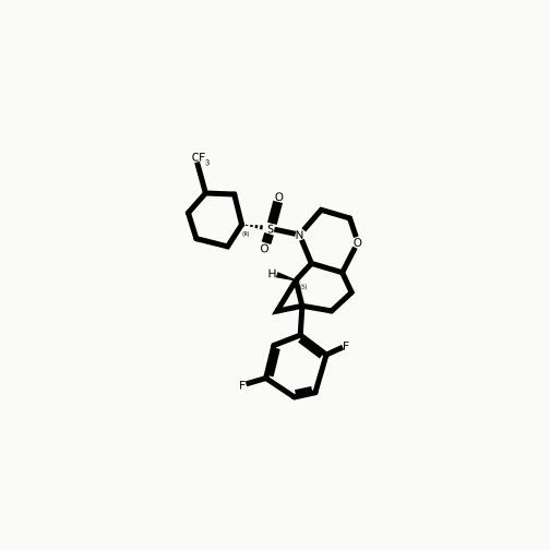 O=S(=O)([C@@H]1CCCC(C(F)(F)F)C1)N1CCOC2CCC3(c4cc(F)ccc4F)C[C@@H]3C21